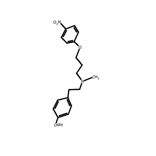 COc1ccc(CCN(C)CCCOc2ccc([N+](=O)[O-])cc2)cc1